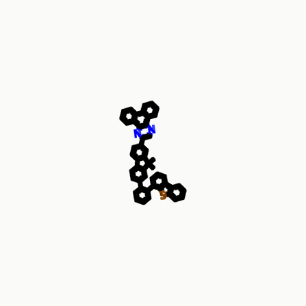 CC1(C)c2cc(-c3cnc4c5ccccc5c5ccccc5c4n3)ccc2-c2ccc(-c3ccccc3-c3cccc4c3sc3ccccc34)cc21